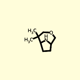 CC1(C)COCC2CCC1N2